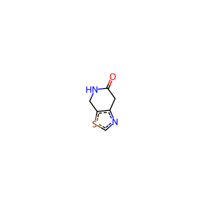 O=C1Cc2ncsc2CN1